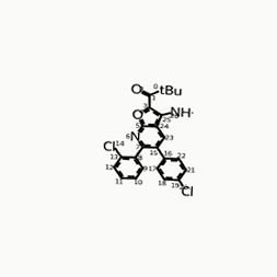 CC(C)(C)C(=O)c1oc2nc(-c3ccccc3Cl)c(-c3ccc(Cl)cc3)cc2c1[NH]